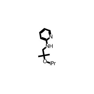 CC(C)OC(C)(C)CNc1ccccn1